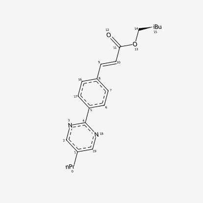 CCCc1cnc(-c2ccc(C=CC(=O)OC[C@H](C)CC)cc2)nc1